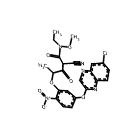 CCN(OC)C(=O)C(C#N)C(=O)C(C)Oc1cc(Oc2cnc3cc(Cl)ccc3n2)ccc1[N+](=O)[O-]